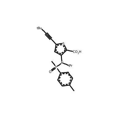 Cc1ccc(P(C)(=O)N(c2cc(C#CC(C)(C)C)sc2C(=O)O)C(C)C)cc1